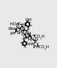 CC(C)N[C@@H](CCC(=O)O)C(=O)N[C@@H](CC(=O)O)C(=O)N[C@@H](Cc1ccccc1)C(=O)N[C@@H](Cc1ccc(O)cc1)C(=O)N[C@@H](CC(=O)O)C(=O)N[C@H](C(=O)C(C)C)C(C)(C)C